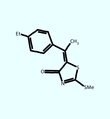 CCc1ccc(/C(C)=C2/SC(SC)=NC2=O)cc1